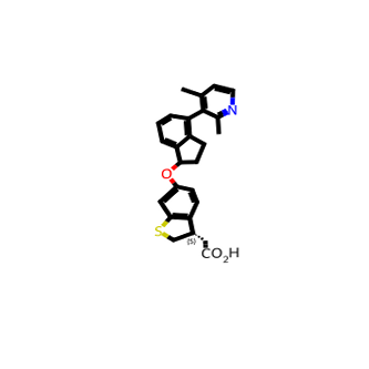 Cc1ccnc(C)c1-c1cccc2c1CCC2Oc1ccc2c(c1)SC[C@H]2CC(=O)O